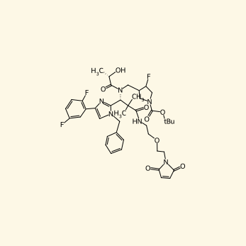 C[C@H](O)C(=O)N(CC1CN(C(=O)OC(C)(C)C)CC1F)[C@@H](c1nc(-c2cc(F)ccc2F)cn1Cc1ccccc1)C(C)(C)C(=O)NCCOCCN1C(=O)C=CC1=O